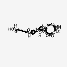 CC[C@H]1OC(=O)[C@H](C)[C@@H](O)[C@H](C)[C@@H](O[C@@H]2O[C@H](C)C[C@H](N(C)Cc3ccc(NC(=O)CCCCCCC(=O)NO)cc3)[C@H]2O)[C@](C)(O)C[C@@H](C)CN(C)[C@H](C)[C@@H](O)[C@]1(C)O